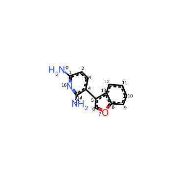 Nc1ccc(-c2coc3ccccc23)c(N)n1